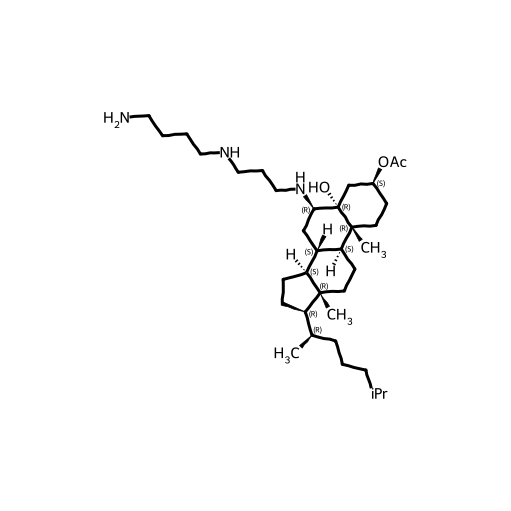 CC(=O)O[C@H]1CC[C@]2(C)[C@H]3CC[C@]4(C)[C@@H]([C@H](C)CCCC(C)C)CC[C@H]4[C@@H]3C[C@@H](NCCCNCCCCN)[C@@]2(O)C1